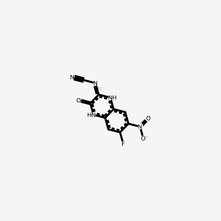 N#C/N=c1/[nH]c2cc([N+](=O)[O-])c(F)cc2[nH]c1=O